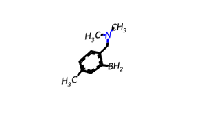 Bc1cc(C)ccc1CN(C)C